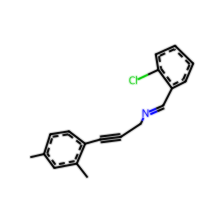 Cc1ccc(C#CCN=Cc2ccccc2Cl)c(C)c1